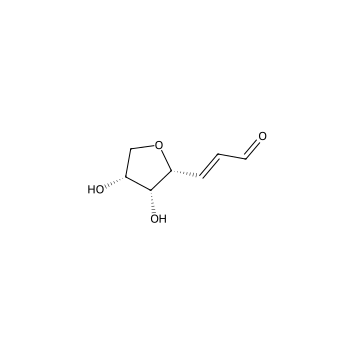 O=C/C=C/[C@H]1OC[C@@H](O)[C@H]1O